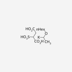 CCCCCCO[CH](C)[K].O=C(O)CC(C(=O)O)S(=O)(=O)O